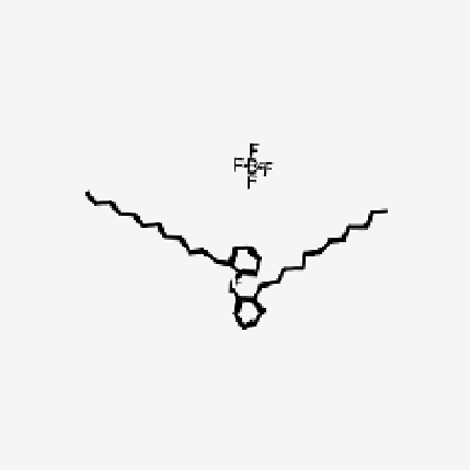 CCCCCCCCCCCCc1ccccc1[I+]c1ccccc1CCCCCCCCCCCC.F[B-](F)(F)F